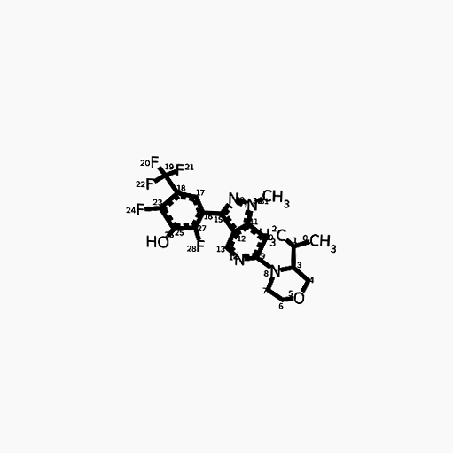 CC(C)C1COCCN1c1cc2c(cn1)c(-c1cc(C(F)(F)F)c(F)c(O)c1F)nn2C